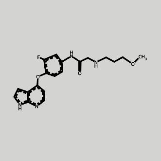 COCCCNCC(=O)Nc1ccc(Oc2ccnc3[nH]ccc23)c(F)c1